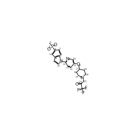 CS(=O)(=O)c1ccc2c(ccn2-c2ccc(OC3CCN(CC(=O)C(F)(F)F)CC3)cn2)c1